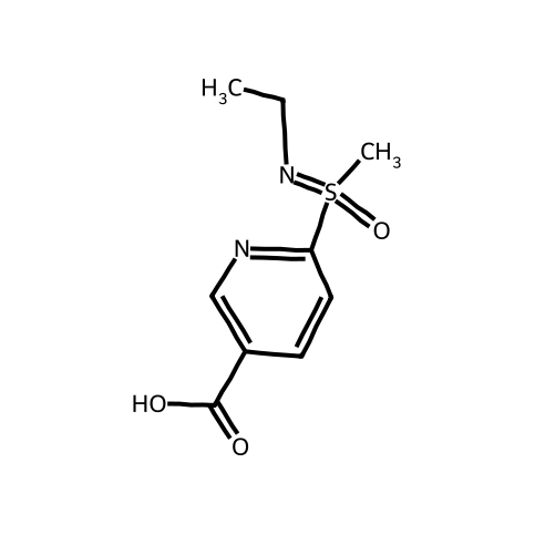 CCN=S(C)(=O)c1ccc(C(=O)O)cn1